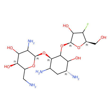 NCC1O[C@H](O[C@@H]2C(N)C[C@@H](N)C(O)C2O[C@@H]2O[C@H](CO)C(F)C2O)C(N)C(O)[C@@H]1O